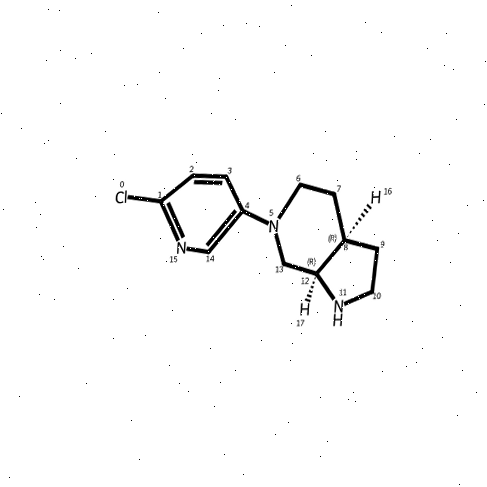 Clc1ccc(N2CC[C@H]3CCN[C@H]3C2)cn1